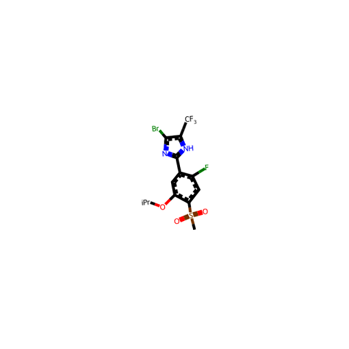 CC(C)Oc1cc(-c2nc(Br)c(C(F)(F)F)[nH]2)c(F)cc1S(C)(=O)=O